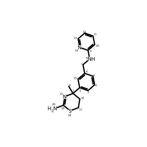 CC1(c2cccc(CNc3ccccn3)c2)CCSC(N)=N1